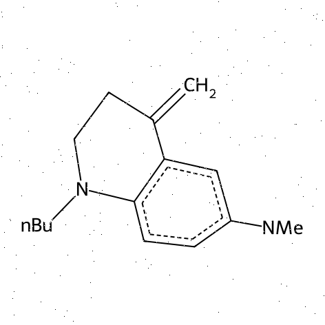 C=C1CCN(CCCC)c2ccc(NC)cc21